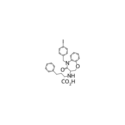 O=C(O)[C@H](CCc1ccccc1)NC1COc2ccccc2N(Cc2ccc(I)cc2)C1=O